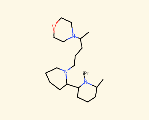 CC(CCCN1CCCCC1C1CCCC(C)N1C(C)C)N1CCOCC1